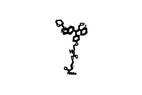 CNC(=O)/C=C/COC(=O)NCCOc1ccc(/C(=C(/CC(F)(F)F)c2ccccc2)c2ccc3c(cnn3C3CCCCO3)c2)cc1